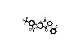 CS(=O)(=O)c1cc(C(F)(F)F)ccc1N1CCC(C(=O)N2[C@@H](c3ccccc3Cl)CC[C@H]2C(=O)O)CC1